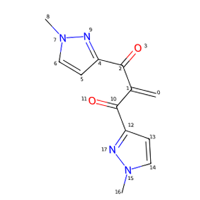 C=C(C(=O)c1ccn(C)n1)C(=O)c1ccn(C)n1